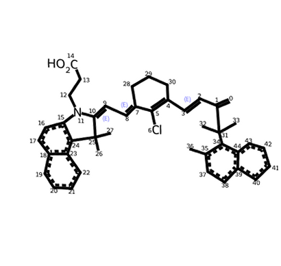 C=C(/C=C/C1=C(Cl)C(=C/C=C2/N(CCC(=O)O)c3ccc4ccccc4c3C2(C)C)/CCC1)C(C)(C)c1c(C)ccc2ccccc12